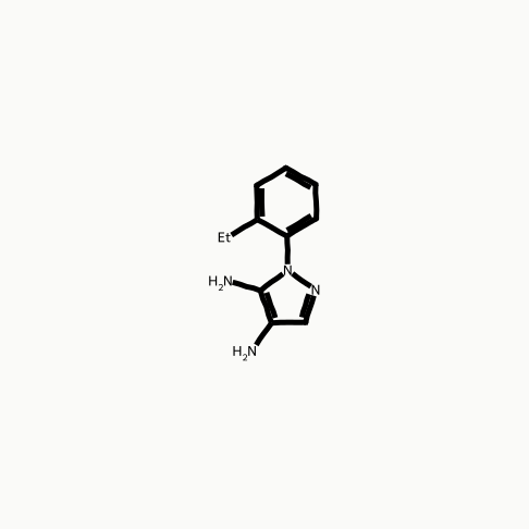 CCc1ccccc1-n1ncc(N)c1N